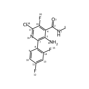 CNC(=O)c1c(N)c(-c2ccc(F)cc2F)nc(Cl)c1F